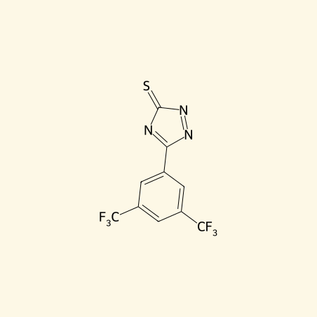 FC(F)(F)c1cc(C2=NC(=S)N=N2)cc(C(F)(F)F)c1